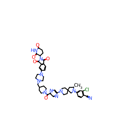 C[C@H]1CC2(CCN(c3cnc(C(=O)N4CCC(CN5CCN(c6ccc7c(c6)C(=O)N(C6CCC(=O)NC6=O)C7=O)CC5)CC4)cn3)CC2)CN1c1ccc(C#N)c(Cl)c1